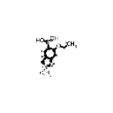 CCOc1cc2nn(C)cc2cc1B(O)O